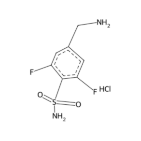 Cl.NCc1cc(F)c(S(N)(=O)=O)c(F)c1